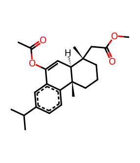 COC(=O)C[C@]1(C)CCC[C@]2(C)c3ccc(C(C)C)cc3C(OC(C)=O)=C[C@@H]12